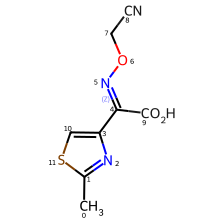 Cc1nc(/C(=N/OCC#N)C(=O)O)cs1